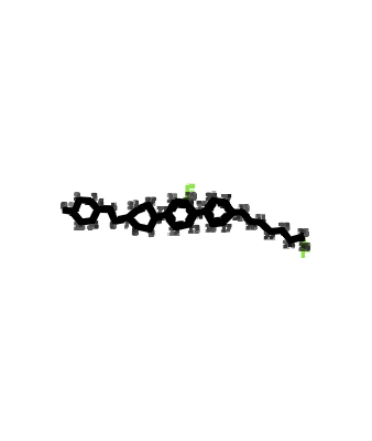 CC1CCC(CCC2CCC(c3ccc(-c4ccc(CCCCCCCF)cc4)c(F)c3)CC2)CC1